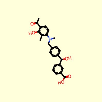 CC(=O)c1ccc(N(C)Cc2ccc(C(O)c3cccc(C(=O)O)c3)cc2)c(C)c1O